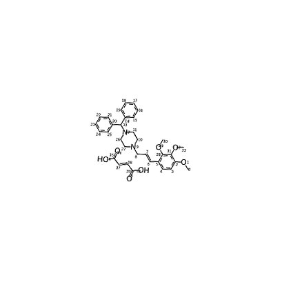 COc1ccc(C=CCN2CCN(C(c3ccccc3)c3ccccc3)CC2)c(OC)c1OC.O=C(O)C=CC(=O)O